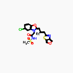 CC/C(C=C1Oc2ccc(Cl)cc2N1CC(=O)NS(C)(=O)=O)=C\c1nc2cocc2s1